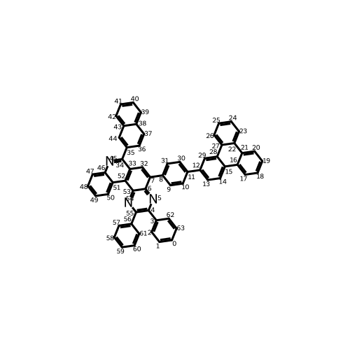 c1ccc(-c2nc3c(-c4ccc(-c5ccc6c7ccccc7c7ccccc7c6c5)cc4)cc4c(-c5ccc6ccccc6c5)nc5ccccc5c4c3nc2-c2ccccc2)cc1